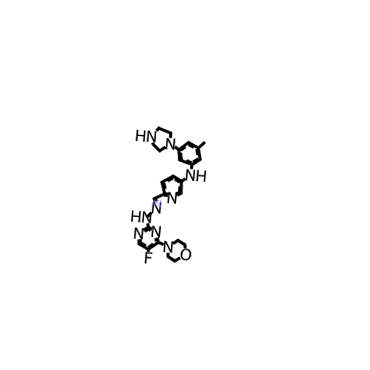 Cc1cc(Nc2ccc(/C=N/Nc3ncc(F)c(N4CCOCC4)n3)nc2)cc(N2CCNCC2)c1